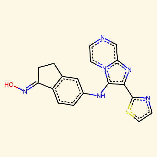 O/N=C1\CCc2cc(Nc3c(-c4nccs4)nc4cnccn34)ccc21